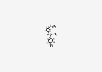 CC(C)Cc1ccc(CC(C)c2ccc(Cl)cc2)o1